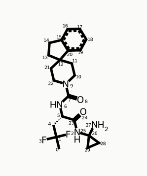 CC(F)(F)C[C@H](NC(=O)N1CCC2(CCc3ccccc32)CC1)C(=O)NC1(N)CC1